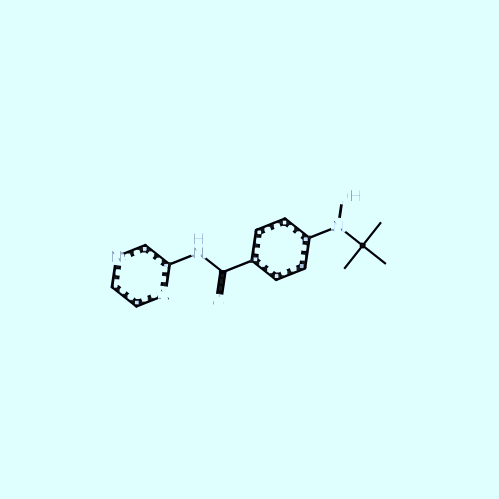 CC(C)(C)N(O)c1ccc(C(=O)Nc2cnccn2)cc1